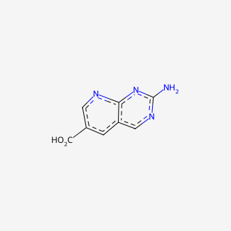 Nc1ncc2cc(C(=O)O)cnc2n1